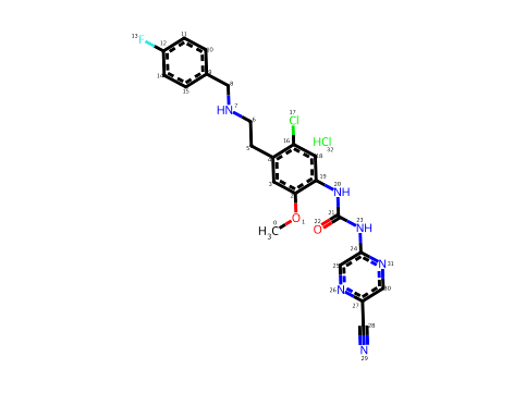 COc1cc(CCNCc2ccc(F)cc2)c(Cl)cc1NC(=O)Nc1cnc(C#N)cn1.Cl